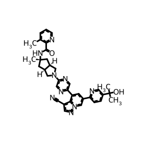 Cc1cccnc1C(=O)N[C@]1(C)C[C@H]2CN(c3cnc(-c4cc(-c5ccc(C(C)(C)O)cn5)cn5ncc(C#N)c45)cn3)C[C@H]2C1